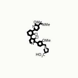 CNCc1ccc(-c2cccc(-c3ccnc(-c4ccc(CN5CC[C@@H](C(=O)O)C5)c(OC)c4)c3Cl)c2Cl)nc1OC